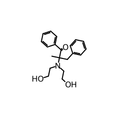 CC(Cc1ccccc1)(C(=O)c1ccccc1)N(CCO)CCO